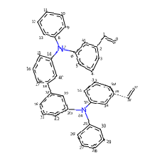 C=Cc1cccc(N(c2ccccc2)c2cccc(-c3cccc(N(c4ccccc4)c4cccc(C=C)c4)c3)c2)c1